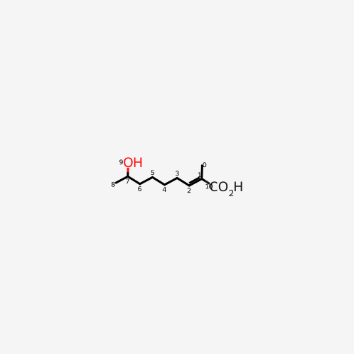 CC(=CCCCCC(C)O)C(=O)O